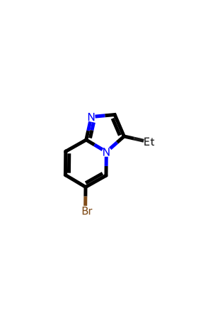 CCc1cnc2ccc(Br)cn12